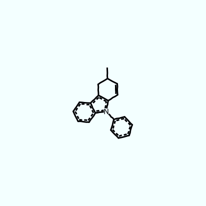 CC1C=Cc2c(c3ccccc3n2-c2ccccc2)C1